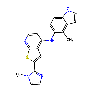 Cc1c(Nc2ccnc3sc(-c4nccn4C)cc23)ccc2[nH]ccc12